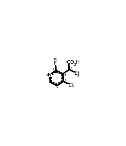 CCC(C(=O)O)c1c(Cl)ccnc1F